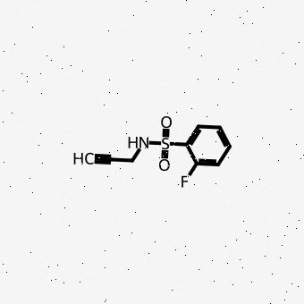 C#CCNS(=O)(=O)c1ccccc1F